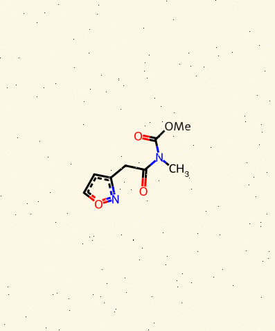 COC(=O)N(C)C(=O)Cc1ccon1